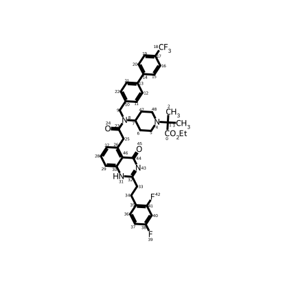 CCOC(=O)C(C)(C)N1CCC(N(Cc2ccc(-c3ccc(C(F)(F)F)cc3)cc2)C(=O)Cc2cccc3[nH]c(CCc4ccc(F)cc4F)nc(=O)c23)CC1